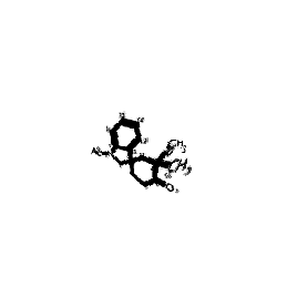 CC(=O)N1CC2(CCC(=O)C(C)(C)C2)c2ccccc21